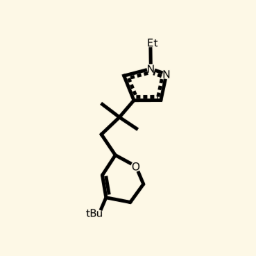 CCn1cc(C(C)(C)CC2C=C(C(C)(C)C)CCO2)cn1